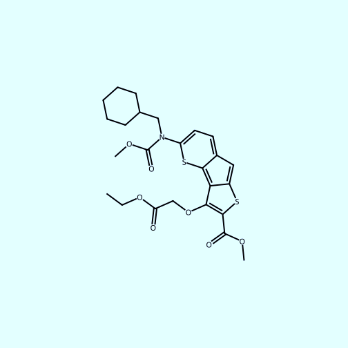 CCOC(=O)COc1c(C(=O)OC)sc2cc3ccc(N(CC4CCCCC4)C(=O)OC)sc-3c12